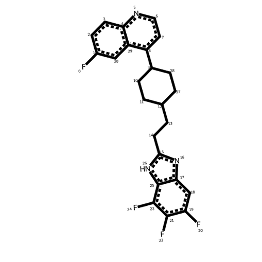 Fc1ccc2nccc(C3CCC(CCc4nc5cc(F)c(F)c(F)c5[nH]4)CC3)c2c1